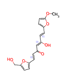 COc1ccc(/C=C/C(O)=C/C(=O)/C=C/c2ccc(CO)o2)o1